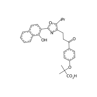 CC(C)c1oc(-c2ccc3ccccc3c2O)nc1CCC(=O)c1ccc(OC(C)(C)C(=O)O)cc1